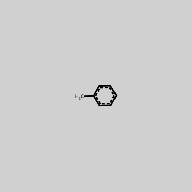 Cc1[c]ccc[c]1